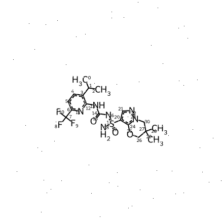 CC(C)c1ccc(C(F)(F)F)nc1NC(=O)N=S(N)(=O)c1cnn2c1OCC(C)(C)C2